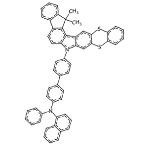 CC1(C)c2ccccc2-c2ccc3c(c21)c1cc2c(cc1n3-c1ccc(-c3ccc(N(c4ccccc4)c4cccc5ccccc45)cc3)cc1)Sc1ccccc1S2